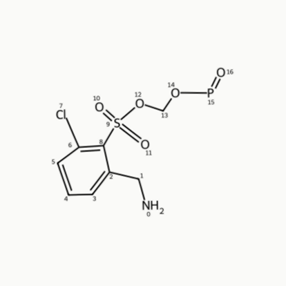 NCc1cccc(Cl)c1S(=O)(=O)OCOP=O